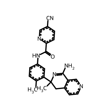 Cc1ccc(NC(=O)c2ccc(C#N)cn2)cc1C1(C)Cc2ccncc2C(N)=N1